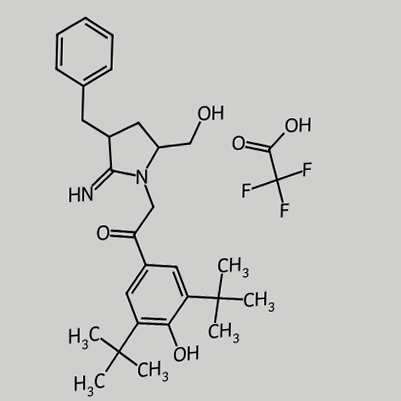 CC(C)(C)c1cc(C(=O)CN2C(=N)C(Cc3ccccc3)CC2CO)cc(C(C)(C)C)c1O.O=C(O)C(F)(F)F